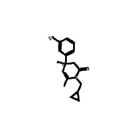 CC1=N[C@](C)(c2cccc(N)c2)CC(=O)N1CC1CC1